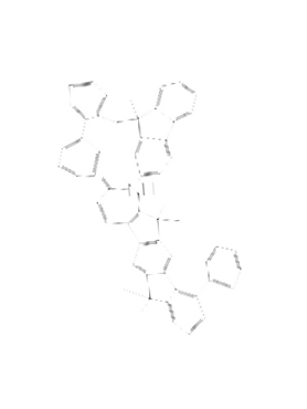 C=C(/C=C\C1=C(C)C(C)(C)c2cc3c(cc21)C(C)(C)c1cccc(-c2ccccc2)c1-3)Nc1ccc2c(c1)C(C)(Cc1ccccc1-c1ccccc1)c1ccccc1-2